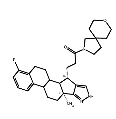 C[C@]12CCC3c4cccc(F)c4CCC3C1[C@H](CCC(=O)N1CCC3(CCOCC3)C1)c1c[nH]nc12